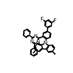 Cc1ccc2c(c1)c1cc(C)ccc1n2-c1ccc(-c2cc(F)cc(F)c2)cc1-c1nc(-c2ccccc2)nc(-c2ccccc2)n1